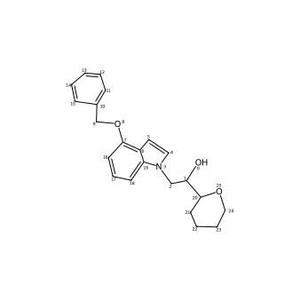 OC(Cn1ccc2c(OCc3ccccc3)cccc21)C1CCCCO1